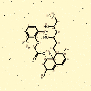 CC[C@H](Oc1c(C(C)C)cccc1C(C)C)C(=O)O[C@H]1C[C@H](O)C=C2C=C[C@@H](C)[C@H](CC[C@@H](O)C[C@@H](O)CC(=O)O)[C@H]21